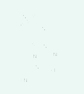 CCc1[nH]c2nc(Sc3cncc(S(=O)(=O)N(C)C)c3)nc(N3CCC(N)C3)c2c1Cl